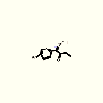 CCC(=O)/C(=N\O)c1ccc(Br)cn1